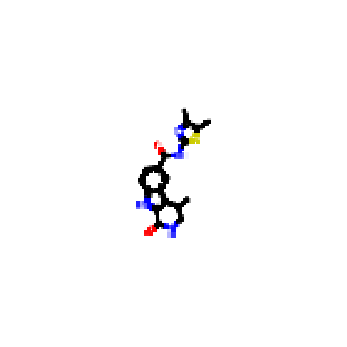 Cc1nc(NC(=O)c2ccc3[nH]c4c(c3c2)C(C)CNC4=O)sc1C